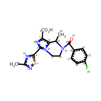 Cc1nsc(-c2nc(C(=O)O)c3n2CCN(C(=O)c2ccc(F)cc2)C3C)n1